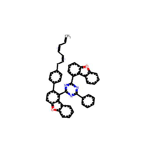 C=C/C=C\C=C/Cc1ccc(-c2ccc3oc4ccccc4c3c2-c2nc(-c3ccccc3)nc(-c3cccc4oc5ccccc5c34)n2)cc1